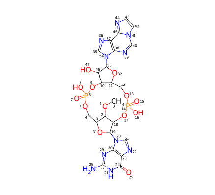 COC1C2COP(=O)(O)OC3C(COP(=O)(O)OC1C(n1cnc4c(=O)[nH]c(N)nc41)O2)OC(n1cnc2c1ncn1ccnc21)C3O